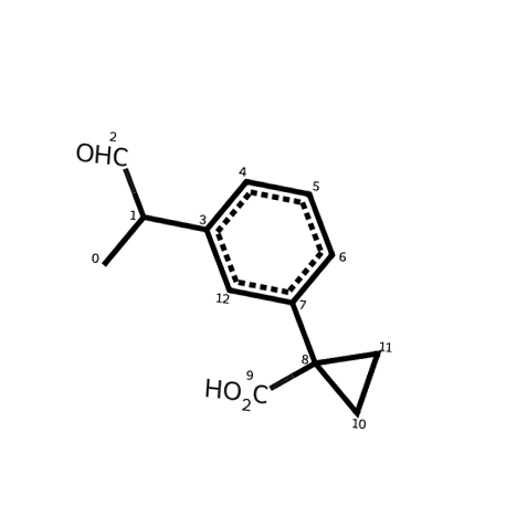 CC(C=O)c1cccc(C2(C(=O)O)CC2)c1